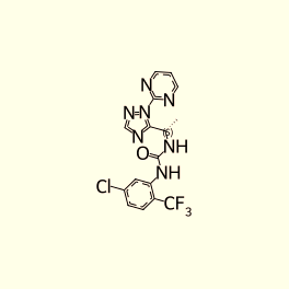 C[C@H](NC(=O)Nc1cc(Cl)ccc1C(F)(F)F)c1ncnn1-c1ncccn1